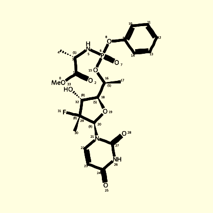 COC(=O)[C@H](C)NP(=O)(Oc1ccccc1)O[C@@H](C)[C@H]1O[C@@H](n2ccc(=O)[nH]c2=O)[C@](C)(F)[C@@H]1O